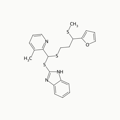 CSC(CCSC(Sc1nc2ccccc2[nH]1)c1ncccc1C)c1ccco1